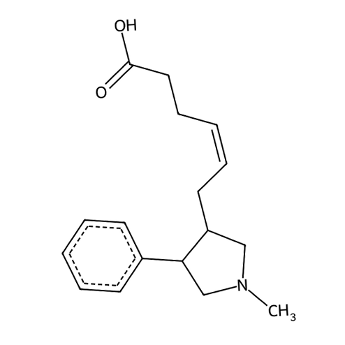 CN1CC(C/C=C\CCC(=O)O)C(c2ccccc2)C1